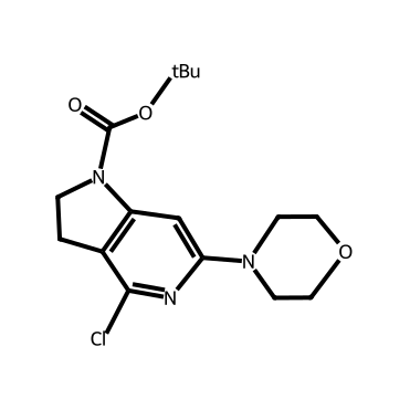 CC(C)(C)OC(=O)N1CCc2c1cc(N1CCOCC1)nc2Cl